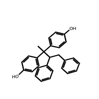 CC(c1ccc(O)cc1)(c1ccc(O)cc1)C(Cc1ccccc1)c1ccccc1